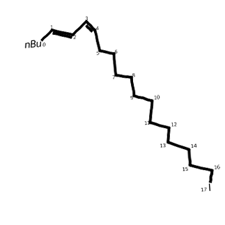 CCCC/C=C/C=C\CCCCCCCCCCCCI